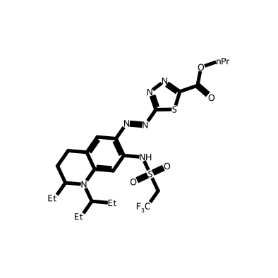 CCCOC(=O)c1nnc(N=Nc2cc3c(cc2NS(=O)(=O)CC(F)(F)F)N(C(CC)CC)C(CC)CC3)s1